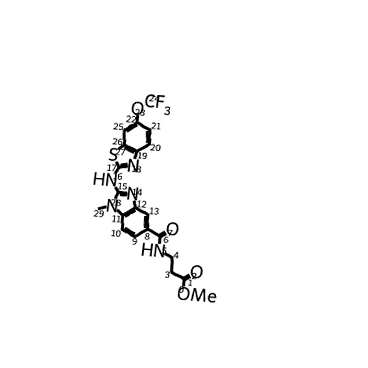 COC(=O)CCNC(=O)c1ccc2c(c1)nc(Nc1nc3ccc(OC(F)(F)F)cc3s1)n2C